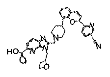 N#Cc1ccc(C2C=Cc3cccc(C4CCN(Cc5nc6ccc(C(=O)O)nc6n5CC5CCO5)CC4)c3O2)nc1